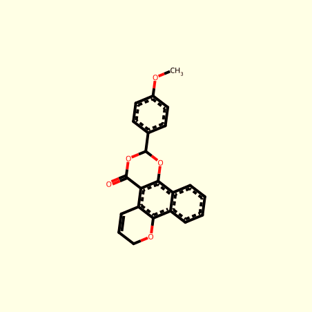 COc1ccc(C2OC(=O)c3c4c(c5ccccc5c3O2)OCC=C4)cc1